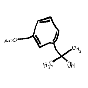 CC(=O)Oc1cccc(C(C)(C)O)c1